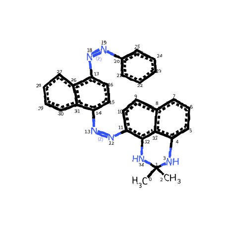 CC1(C)Nc2cccc3ccc(/N=N\c4ccc(/N=N\c5ccccc5)c5ccccc45)c(c23)N1